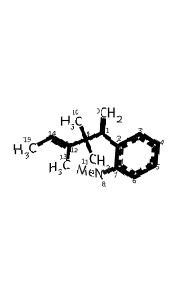 C=C(c1ccccc1NC)C(C)(C)/C(C)=C/C